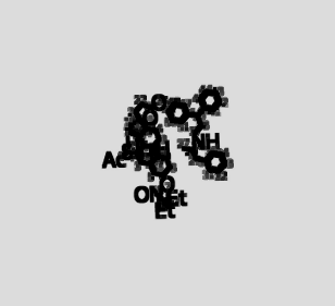 CC(=O)S[C@@H]1CC2=CC(=O)CC[C@]2(C)[C@H]2CC[C@@]3(C)[C@@H](CC[C@@]34CCC(=O)O4)[C@H]12.CC(Cc1ccccc1)NCCC(c1ccccc1)c1ccccc1.CCN(CC)N=O